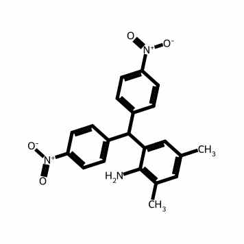 Cc1cc(C)c(N)c(C(c2ccc([N+](=O)[O-])cc2)c2ccc([N+](=O)[O-])cc2)c1